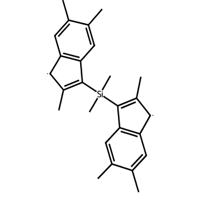 CC1=C([Si](C)(C)C2=C(C)[CH]c3cc(C)c(C)cc32)c2cc(C)c(C)cc2[CH]1